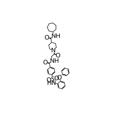 O=C(NCC(=O)N1CCC(C(=O)NC2CCCCCC2)CC1)c1ccc(S(=O)(=O)Nc2ccccc2Oc2ccccc2)cc1